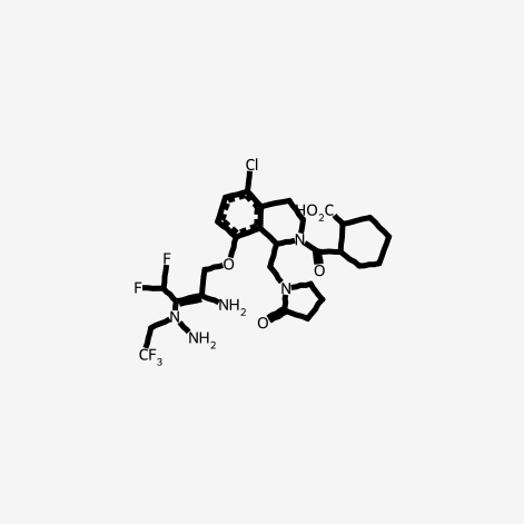 N/C(COc1ccc(Cl)c2c1C(CN1CCCC1=O)N(C(=O)C1CCCCC1C(=O)O)CC2)=C(/C(F)F)N(N)CC(F)(F)F